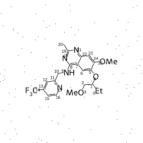 CCC(COC)Oc1cc2c(NCc3cc(C(F)(F)F)ccn3)nc(C)nc2cc1OC